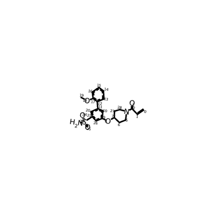 C=CC(=O)N1CCC(Oc2cc(-c3ccccc3OC)cc(S(N)(=O)=O)c2)CC1